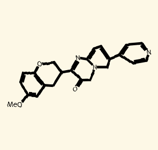 COc1ccc2c(c1)CC(C1=NC3=CC=C(c4ccncc4)CN3CC1=O)CO2